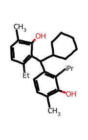 CCc1ccc(C)c(O)c1C(c1ccc(C)c(O)c1C(C)C)C1CCCCC1